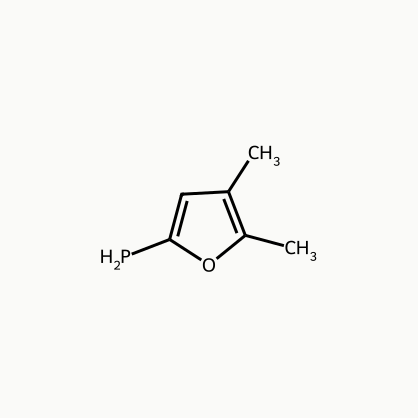 Cc1cc(P)oc1C